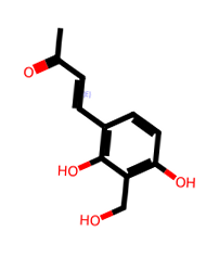 CC(=O)/C=C/c1ccc(O)c(CO)c1O